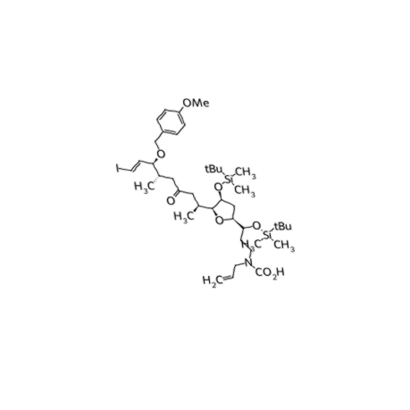 C=CCN(CCC(O[Si](C)(C)C(C)(C)C)[C@@H]1C[C@H](O[Si](C)(C)C(C)(C)C)[C@H]([C@@H](C)CC(=O)C[C@H](C)[C@@H](/C=C/I)OCc2ccc(OC)cc2)O1)C(=O)O